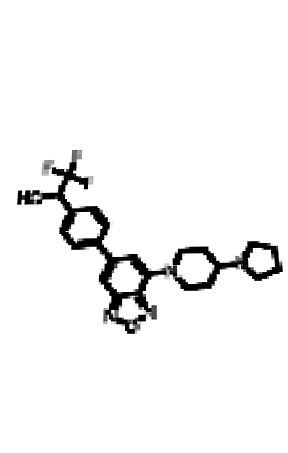 OC(c1ccc(-c2cc(N3CCC(N4CCCC4)CC3)c3nonc3c2)cc1)C(F)(F)F